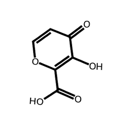 O=C(O)c1occc(=O)c1O